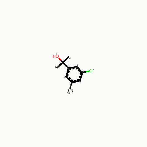 CC(C)(O)c1cc(Cl)cc(C#N)c1